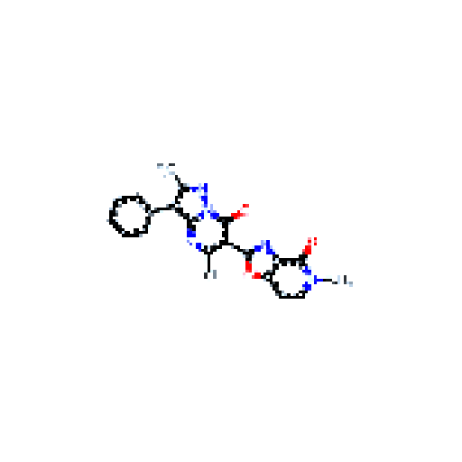 Cc1[nH]c2c(-c3ccccc3)c(C(F)(F)F)nn2c(=O)c1-c1nc2c(=O)n(C)ccc2o1